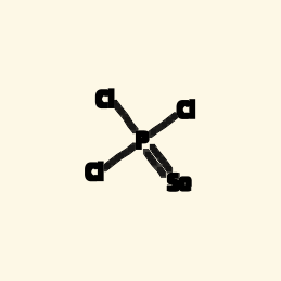 ClP(Cl)(Cl)=[Se]